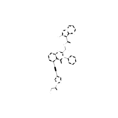 C[C@@H](NC(=O)c1c(N)nn2cccnc12)c1nc2cccc(C#Cc3cnn(C(=O)CN)c3)c2c(=O)n1-c1ccccc1